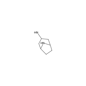 [NH]C1CC2CCC(C1)N2